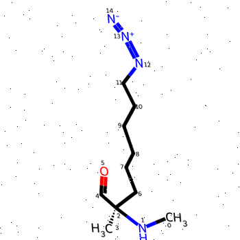 CN[C@@](C)(C=O)CCCCCCN=[N+]=[N-]